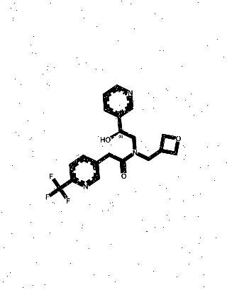 O=C(Cc1ccc(C(F)(F)F)nc1)N(CC1COC1)C[C@@H](O)c1cccnc1